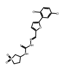 O=S1(=O)CCC(NC(=S)N/N=C/c2ccc(-c3cc(Cl)ccc3Cl)o2)C1